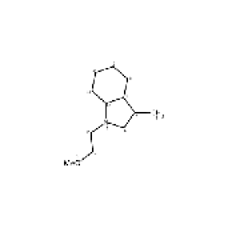 COCCN1CC(C)C2CCCCC21